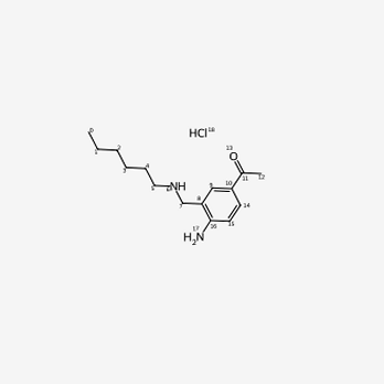 CCCCCCNCc1cc(C(C)=O)ccc1N.Cl